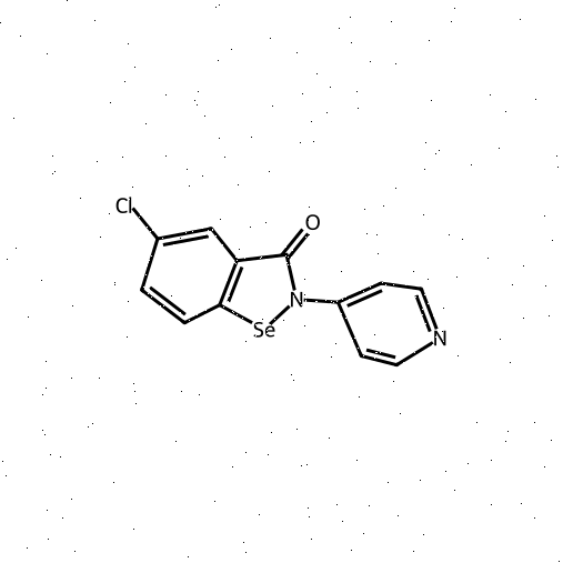 O=c1c2cc(Cl)ccc2[se]n1-c1ccncc1